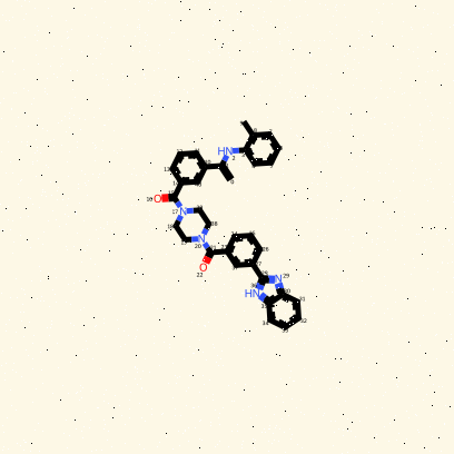 C=C(Nc1ccccc1C)c1cccc(C(=O)N2CCN(C(=O)c3cccc(-c4nc5ccccc5[nH]4)c3)CC2)c1